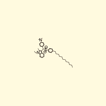 CCCCCCCCCCCCc1ccc(S(=O)(=O)C(c2ccc(N(C)C)cc2)c2c(C)n(CC)c3ccccc23)cc1